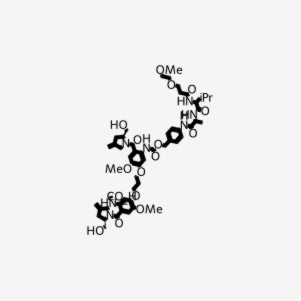 C=C1C[C@@H](CO)N(C(=O)c2cc(OC)c(OCCCOc3cc(NC(=O)OCc4ccc(NC(=O)C(C)NC(=O)C(NC(=O)CCOCCOC)C(C)C)cc4)c(C(=O)N4CC(=C)C[C@H]4CO)cc3OC)cc2NC(=O)O)C1